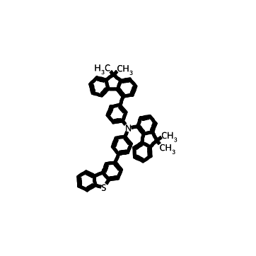 CC1(C)c2ccccc2-c2c(-c3cccc(N(c4ccc(-c5ccc6sc7ccccc7c6c5)cc4)c4cccc5c4-c4ccccc4C5(C)C)c3)cccc21